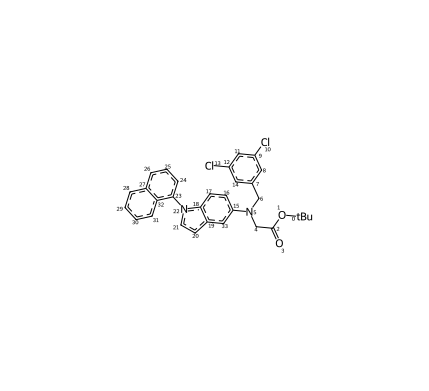 CC(C)(C)OC(=O)CN(Cc1cc(Cl)cc(Cl)c1)c1ccc2c(ccn2-c2cccc3ccccc23)c1